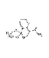 COC1(OC)OCC(C(N)=O)=C2C=CCC=C21